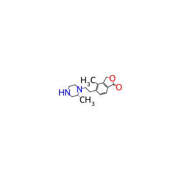 Cc1c(CCN2CCNC[C@H]2C)ccc2c1COC2=O